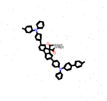 CCCCCCCC(=O)C1(C(=O)CCCCCCC)c2cc(-c3ccc(N(c4ccccc4)c4ccc(C)cc4)cc3)ccc2-c2ccc(-c3ccc(N(c4ccccc4)c4ccc(-c5ccc(C)cc5)cc4)cc3)cc21